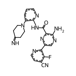 N#Cc1ccnc(-c2cnc(N)c(C(=O)Nc3ncccc3N3CCC(=N)CC3)n2)c1F